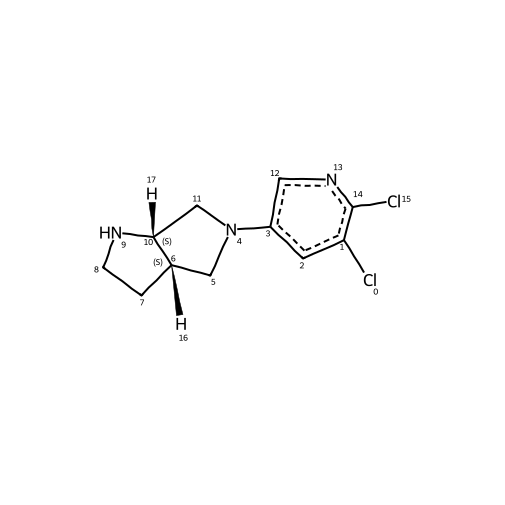 Clc1cc(N2C[C@@H]3CCN[C@@H]3C2)cnc1Cl